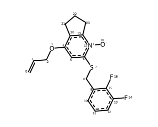 C=CCOc1cc(SCc2cccc(F)c2F)[n+]([O-])c2c1CCC2